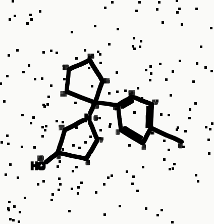 Cc1ccc(C2(N3CCC(O)C3)CCCC2)cc1